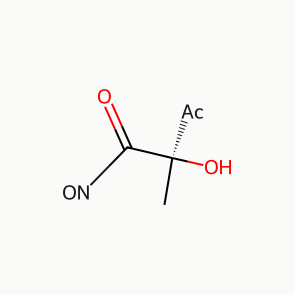 CC(=O)[C@@](C)(O)C(=O)N=O